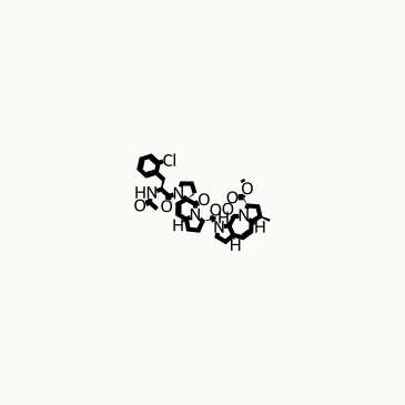 COC(=O)[C@@H]1C[C@@H](C)[C@@H]2C=C[C@H]3CCN(C(=O)[C@@H]4CC[C@H]5C=C[C@]6(CCCN6C(=O)[C@H](Cc6ccccc6Cl)NC(C)=O)C(=O)N54)[C@@H]3C(=O)N12